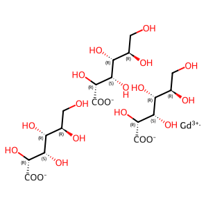 O=C([O-])[C@H](O)[C@@H](O)[C@H](O)[C@H](O)CO.O=C([O-])[C@H](O)[C@@H](O)[C@H](O)[C@H](O)CO.O=C([O-])[C@H](O)[C@@H](O)[C@H](O)[C@H](O)CO.[Gd+3]